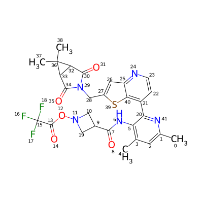 Cc1cc(C)c(NC(=O)C2CN(OC(=O)C(F)(F)F)C2)c(-c2ccnc3cc(CN4C(=O)C5C(C4=O)C5(C)C)sc23)n1